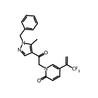 C=C(c1ccc(=O)n(CC(=O)c2cnn(Cc3ccccc3)c2C)c1)C(F)(F)F